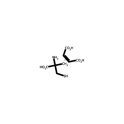 CC(N)(CS)C(=O)O.O=C(O)/C=C\C(=O)O